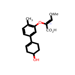 CO/C=C(\Oc1cc(C2=CCC(O)CC2)ccc1C)C(=O)O